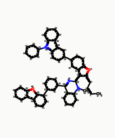 C\C=C/C=c1/oc2ccc(-c3ccc4c(c3)c3ccccc3n4-c3ccccc3)cc2/c1=C1\N=C(c2cccc(-c3cccc4c3oc3ccccc34)c2)c2ccccc2N1C